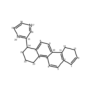 C1=Cc2ccc3c4c(ccc3c2CC1)C(c1cnccn1)CCC4